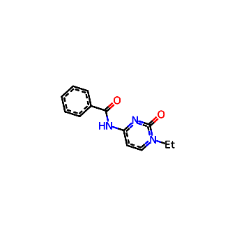 CCn1ccc(NC(=O)c2ccccc2)nc1=O